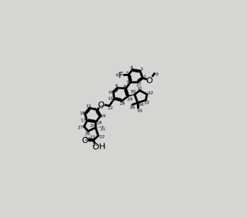 COc1ccc(F)c(-c2ccc(COc3ccc4c(c3)[C@@](C)(CC(=O)O)CC4)cc2[C@H]2CCCC2(C)C)c1